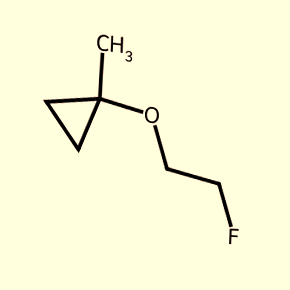 CC1(OCCF)CC1